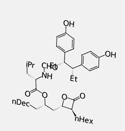 CCCCCCCCCCC[C@@H](C[C@@H]1OC(=O)[C@H]1CCCCCC)OC(=O)[C@H](CC(C)C)NC=O.CC[C@H](c1ccc(O)cc1)[C@@H](CC)c1ccc(O)cc1